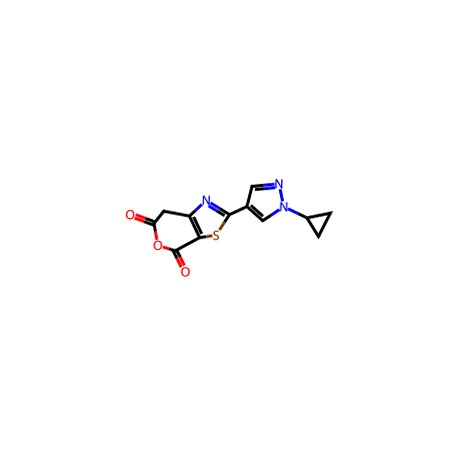 O=C1Cc2nc(-c3cnn(C4CC4)c3)sc2C(=O)O1